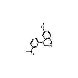 COc1ccc2c(c1)N(c1cccc(C(C)=O)c1)CN=C2